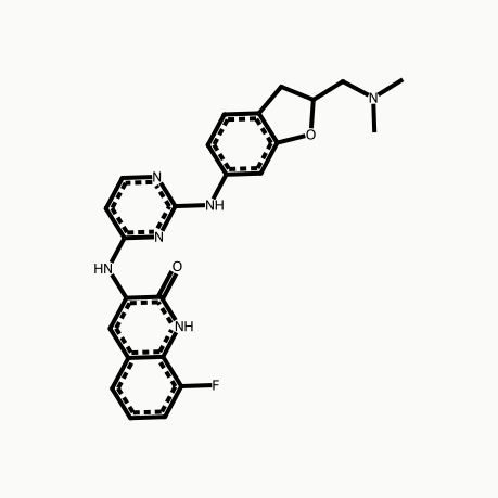 CN(C)CC1Cc2ccc(Nc3nccc(Nc4cc5cccc(F)c5[nH]c4=O)n3)cc2O1